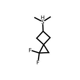 C[SH](C)C1CC2(C1)CC2(F)F